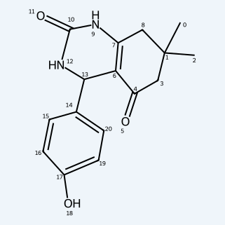 CC1(C)CC(=O)C2=C(C1)NC(=O)NC2c1ccc(O)cc1